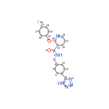 O=C(NCc1ccc(-c2nnn[nH]2)cc1)c1cccnc1Oc1ccc(F)cc1